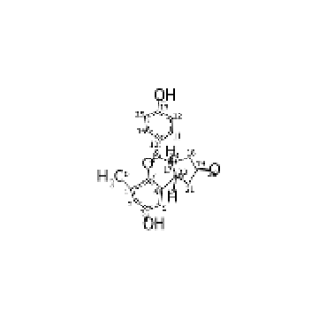 Cc1cc(O)cc2c1O[C@H](c1ccc(O)cc1)[C@@H]1CC(=O)C[C@H]21